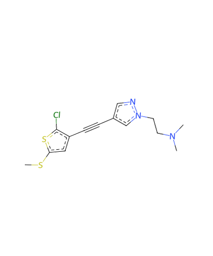 CSc1cc(C#Cc2cnn(CCN(C)C)c2)c(Cl)s1